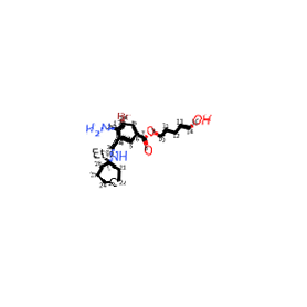 CCC1(NCc2cc(C(=O)OCCCCCO)cc(Br)c2N)CCCCCC1